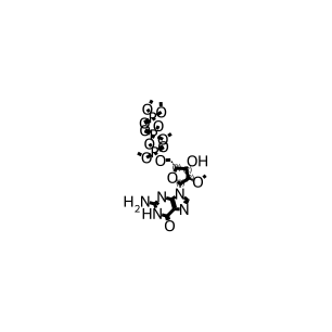 CO[C@@H]1[C@H](O)[C@@H](COP(=O)(OC)OP(=O)(OC)OP(=O)(OC)OC)O[C@H]1n1cnc2c(=O)[nH]c(N)nc21